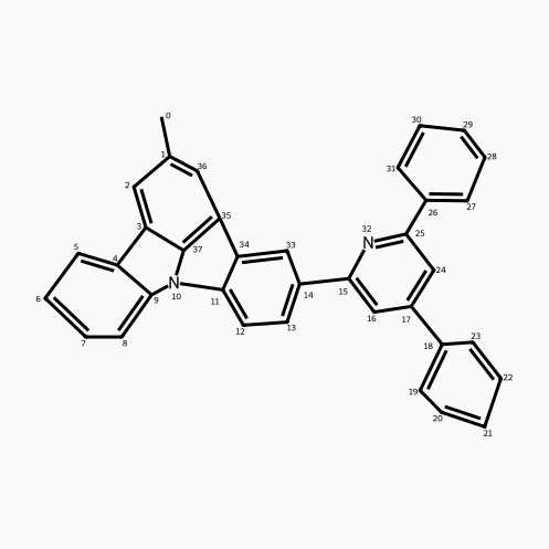 Cc1cc2c3ccccc3n3c4ccc(-c5cc(-c6ccccc6)cc(-c6ccccc6)n5)cc4c(c1)c23